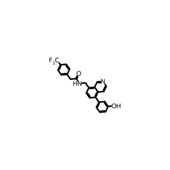 O=C(Cc1ccc(C(F)(F)F)cc1)NCc1ccc(-c2cccc(O)c2)c2ccncc12